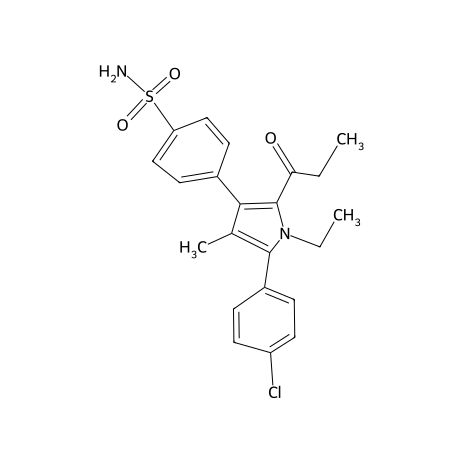 CCC(=O)c1c(-c2ccc(S(N)(=O)=O)cc2)c(C)c(-c2ccc(Cl)cc2)n1CC